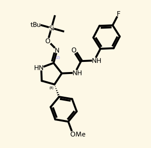 COc1ccc([C@@H]2CN/C(=N\O[Si](C)(C)C(C)(C)C)C2NC(=O)Nc2ccc(F)cc2)cc1